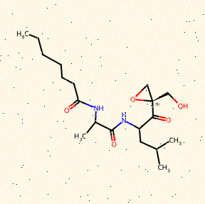 CCCCCCC(=O)NC(C)C(=O)NC(CC(C)C)C(=O)[C@@]1(CO)CO1